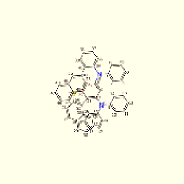 c1ccc(N(c2cc(N(c3ccccc3)c3ccccc3)c3c(c2)sc2ccc4ccccc4c23)c2ccccc2-c2ccc3ccccc3c2)cc1